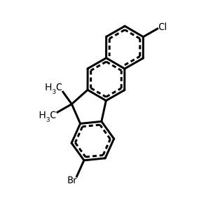 CC1(C)c2cc(Br)ccc2-c2cc3cc(Cl)ccc3cc21